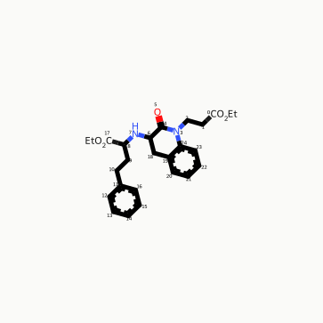 CCOC(=O)CCN1C(=O)C(NC(CCc2ccccc2)C(=O)OCC)Cc2ccccc21